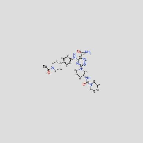 CCC(=O)N1CCC(c2ccc(Nc3nc(N4CCCC(NC(=O)N5CCCCC5)C4)nnc3C(N)=O)cc2)CC1